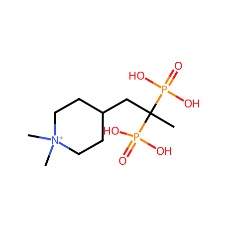 CC(CC1CC[N+](C)(C)CC1)(P(=O)(O)O)P(=O)(O)O